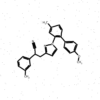 COc1ccc(-c2ccc(C)cc2-n2ccc(CC(C#N)c3cccc(C)c3)n2)cc1